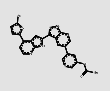 CCCCC(=O)Nc1cncc(-c2cnc3[nH]nc(-c4cc5c(-c6ccc(C(C)=O)s6)ccnc5[nH]4)c3c2)c1